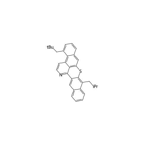 CC(C)Cc1c2c(cc3ccccc13)-c1nccc3c1c(cc1cccc(CC(C)(C)C)c13)S2